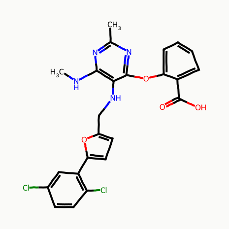 CNc1nc(C)nc(Oc2ccccc2C(=O)O)c1NCc1ccc(-c2cc(Cl)ccc2Cl)o1